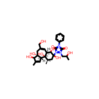 CC1=C[C@H]2[C@@]3(O)[C@H](C)CC(O)(n4c(=O)n(-c5ccccc5)c(=O)n4CC(C)O)C(O)[C@@H]3C=C(CO)C[C@]2(O)C1O